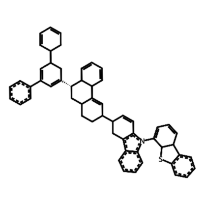 C1=CCC(C2C=C(c3ccccc3)C=C([C@H]3CC4CCC(C5C=Cc6c(c7ccccc7n6C6=CC=CC7c8ccccc8SC67)C5)C=C4C4C=CC=CC43)C2)C=C1